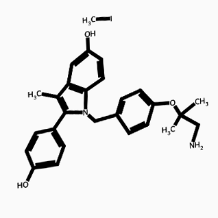 CI.Cc1c(-c2ccc(O)cc2)n(Cc2ccc(OC(C)(C)CN)cc2)c2ccc(O)cc12